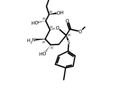 CC[C@@H](O)[C@@H](O)[C@@H]1O[C@](Sc2ccc(C)cc2)(C(=O)OC)C[C@H](O)[C@H]1N